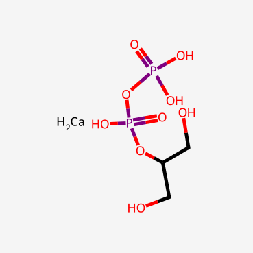 O=P(O)(O)OP(=O)(O)OC(CO)CO.[CaH2]